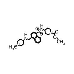 CCOC(=O)N1CCC(NS(=O)(=O)c2ccc(CNC3CCN(C)CC3)c3ccccc23)CC1